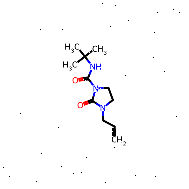 C=CCN1CCN(C(=O)NC(C)(C)C)C1=O